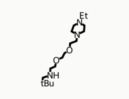 CCN1CCN(CCOCCOCCNCC(C)(C)C)CC1